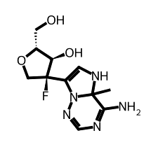 CC12NC=C([C@]3(F)CO[C@H](CO)[C@H]3O)N1N=CN=C2N